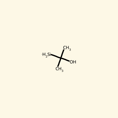 CC(C)(O)[SiH2]